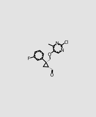 Cc1nc(Cl)ncc1OC[C@@]1(c2cccc(F)c2)C[C@H]1C=O